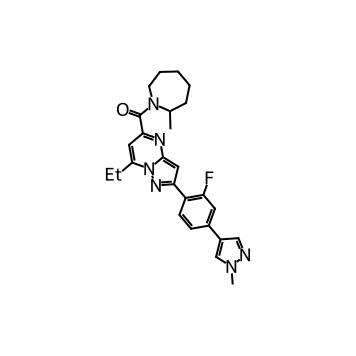 CCc1cc(C(=O)N2CCCCCC2C)nc2cc(-c3ccc(-c4cnn(C)c4)cc3F)nn12